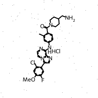 COc1cc(Cl)c(-c2cnc3c(Nc4ccc(C(=O)N5CCC(CN)CC5)c(C)c4)nccn23)cc1F.Cl